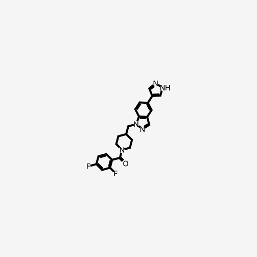 O=C(c1ccc(F)cc1F)N1CCC(Cn2ncc3cc(-c4cn[nH]c4)ccc32)CC1